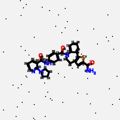 NC(=O)c1cc2c(s1)-c1ccccc1N(C(=O)c1ccc(NC(=O)c3cccnc3N3CCCC3)cc1)CC2